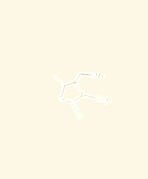 COCC1C(C)OS(=O)N1C(=O)O